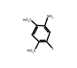 Nc1cc(F)c(S(=O)(=O)O)cc1S(=O)(=O)O